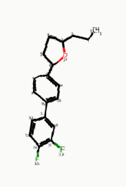 CCCC1CCC(c2ccc(-c3ccc(F)c(F)c3)cc2)O1